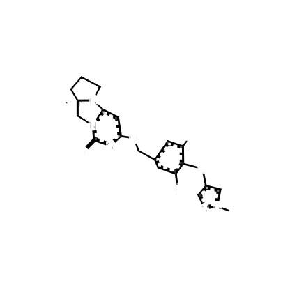 Cn1cc(Oc2c(F)cc(COc3cc4n(c(=O)n3)C[C@H]3CCCN43)cc2F)cn1